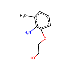 Cc1cccc(OCCO)c1N